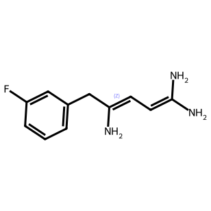 NC(N)=C/C=C(\N)Cc1cccc(F)c1